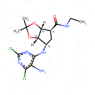 CCNC(=O)[C@H]1C[C@@H](Nc2nc(Cl)nc(Cl)c2N)[C@@H]2OC(C)(C)O[C@@H]21